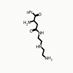 CCCC(=O)C(N)CC(=O)NCCNCCN